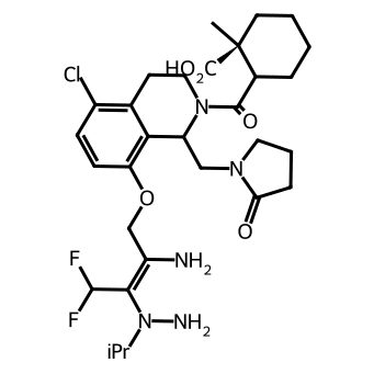 CC(C)N(N)/C(=C(\N)COc1ccc(Cl)c2c1C(CN1CCCC1=O)N(C(=O)C1CCCC[C@]1(C)C(=O)O)CC2)C(F)F